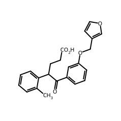 Cc1ccccc1C(CCC(=O)O)C(=O)c1cccc(OCc2ccoc2)c1